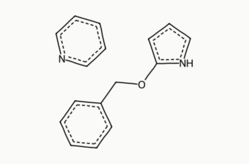 c1ccc(COc2ccc[nH]2)cc1.c1ccncc1